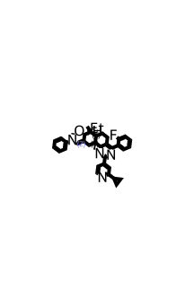 CC[C@@]1(C)C(=O)/C(=C\N(C)c2ccccc2)C[C@@]2(C)c3nc(-c4ccnc(C5CC5)c4)nc(-c4ccccc4F)c3CC[C@H]12